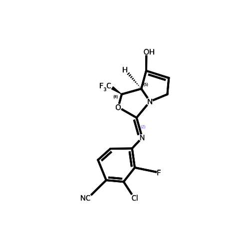 N#Cc1ccc(/N=C2\O[C@@H](C(F)(F)F)[C@H]3C(O)=CCN23)c(F)c1Cl